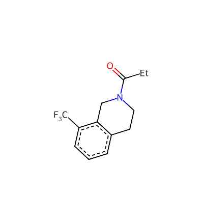 CCC(=O)N1CCc2cccc(C(F)(F)F)c2C1